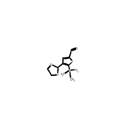 C[Si](C)(C)c1sc(C=O)cc1C1OCCO1